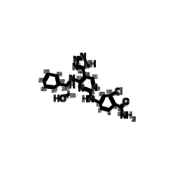 NC(=O)c1ccc(Nc2ncc(-c3nnn[nH]3)c(N[C@H](CO)c3ccccc3)n2)cc1Cl